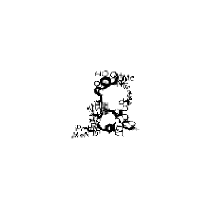 CCc1cc2ccc1Oc1cc3cc(c1O[C@H]1C[C@@H](O)C[C@@H](C)O1)Oc1ccc(cc1Cl)CCC(=O)N[C@H](C(=O)OC)c1cc(O)ccc1-c1cc(ccc1O)C(C)NC(=O)[C@@H]3NC(=O)[C@H](CC(=O)N(C)C)NC(=O)[C@H](NC(=O)[C@@H](CC(C)C)NC)C2